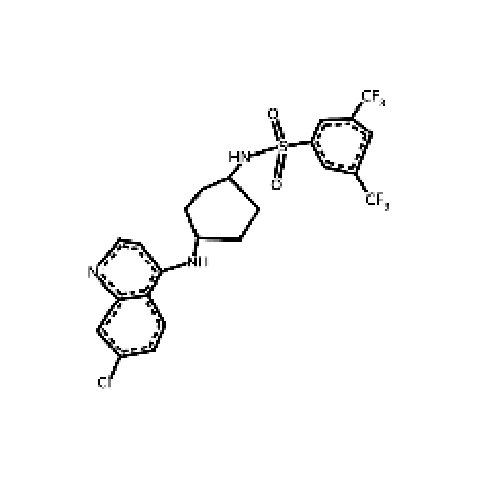 O=S(=O)(NC1CCC(Nc2ccnc3cc(Cl)ccc23)CC1)c1cc(C(F)(F)F)cc(C(F)(F)F)c1